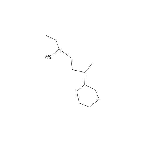 CCC(S)CCC(C)C1CCCCC1